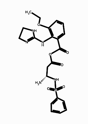 CCOc1cccc(C(=O)OC(=O)C[C@@H](N)NS(=O)(=O)c2ccccc2)c1NC1=NCCN1